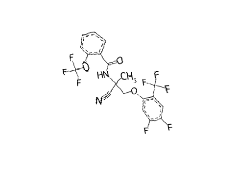 CC(C#N)(COc1cc(F)c(F)cc1C(F)(F)F)NC(=O)c1ccccc1OC(F)(F)F